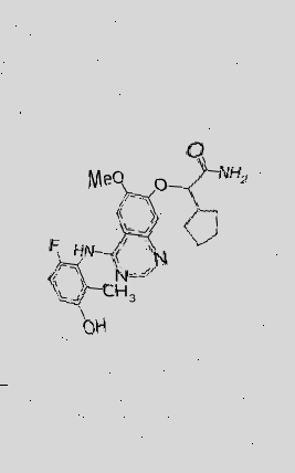 COc1cc2c(Nc3c(F)ccc(O)c3C)ncnc2cc1OC(C(N)=O)C1CCCC1